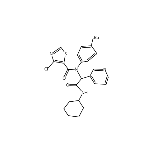 CC(C)(C)c1ccc(N(C(=O)c2scnc2Cl)C(C(=O)NC2CCCCC2)c2cccnc2)cc1